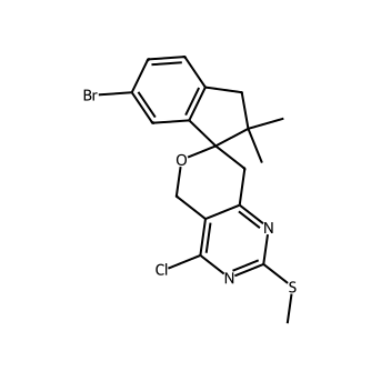 CSc1nc(Cl)c2c(n1)CC1(OC2)c2cc(Br)ccc2CC1(C)C